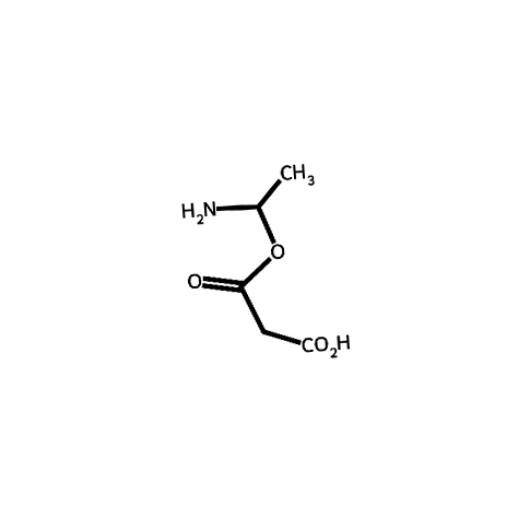 CC(N)OC(=O)CC(=O)O